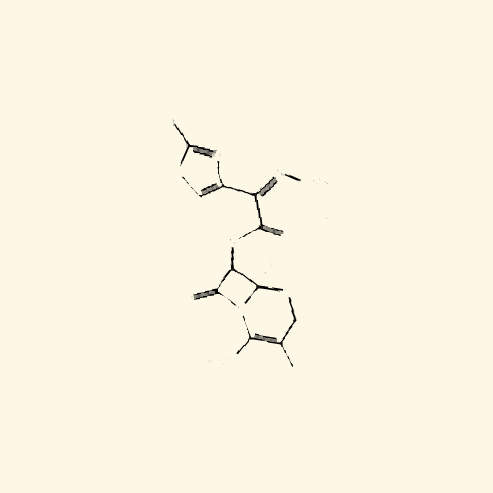 CO/N=C(\C(=O)NC1C(=O)N2C(C(=O)O)=C(Cl)CS[C@H]12)c1csc(N)n1.Cl